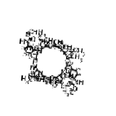 COC(=O)Nc1ccc(C[C@H]2OC(=O)[C@H](CC(C)C)N(C)C(=O)[C@@H](C)OC(=O)[C@H](CC(C)C)N(C)C(=O)[C@@H](Cc3ccc(NC(=O)OC)cc3)OC(=O)[C@H](CC(C)C)N(C)C(=O)[C@@H](C)OC(=O)[C@H](CC(C)C)N(C)C2=O)cc1